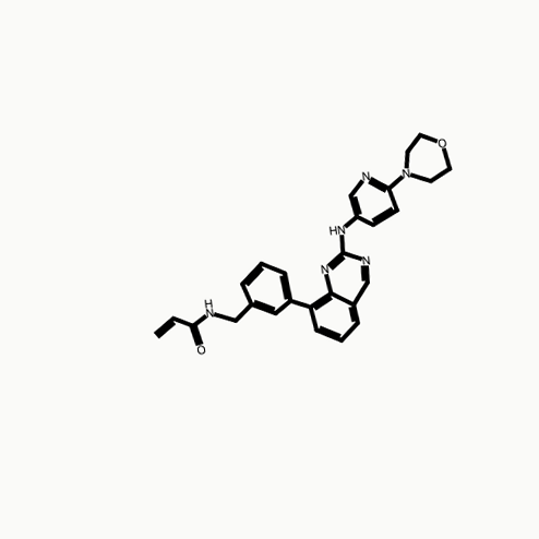 C=CC(=O)NCc1cccc(-c2cccc3cnc(Nc4ccc(N5CCOCC5)nc4)nc23)c1